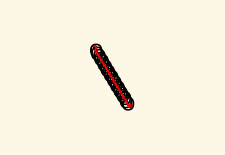 c1ccc(COCCOCCOCCOCCOCCOCCOCCOCCOCCOCCOCCOCCOCCOCCOCCOCCOCCOCCOCCOCCOCc2ccccc2)cc1